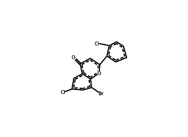 O=c1cc(-c2ccccc2Cl)oc2c(Br)cc(Cl)cc12